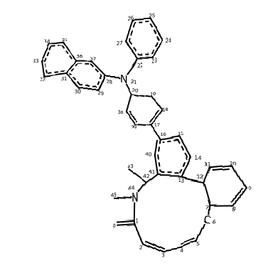 C=C1/C=C\C=C/CC2C=CC=CC2c2ccc(C3=CCC(N(c4ccccc4)c4ccc5ccccc5c4)C=C3)cc2C(C)N1C